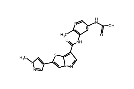 Cc1ncc(NC(=O)O)cc1NC(=O)c1cnn2cc(-c3cnn(C)c3)sc12